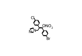 O=[N+]([O-])O/C(=C(/Cn1ccnc1)c1ccc(Cl)cc1)c1ccc(Br)cc1